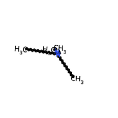 CCCCCCCCCCCCCCCCCC1N(CCCCCCCCCCCCCCC)C=CN1C(C)C